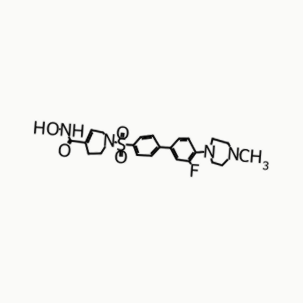 CN1CCN(c2ccc(-c3ccc(S(=O)(=O)N4CC=C(C(=O)NO)CC4)cc3)cc2F)CC1